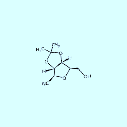 CC1(C)O[C@@H]2[C@H](O1)[C@@H](CO)O[C@H]2C#N